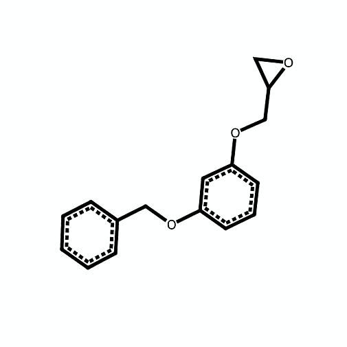 c1ccc(COc2cccc(OCC3CO3)c2)cc1